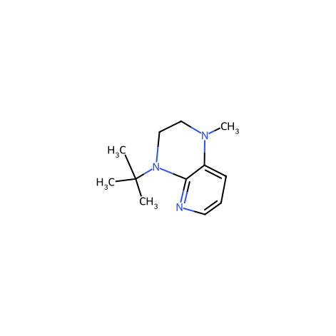 CN1CCN(C(C)(C)C)c2ncccc21